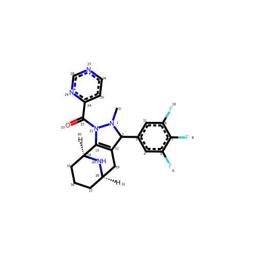 CN1C(c2cc(F)c(F)c(F)c2)C2=C([C@@H]3CCC[C@H](C2)N3)N1C(=O)c1ccncn1